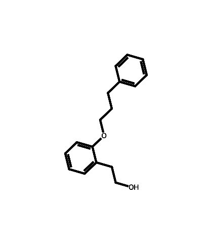 OCCc1ccccc1OCCCc1ccccc1